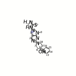 CN(C)c1nc(N2CCC(O)(c3ccccc3)CC2)ncc1/C=N/NC(N)=S